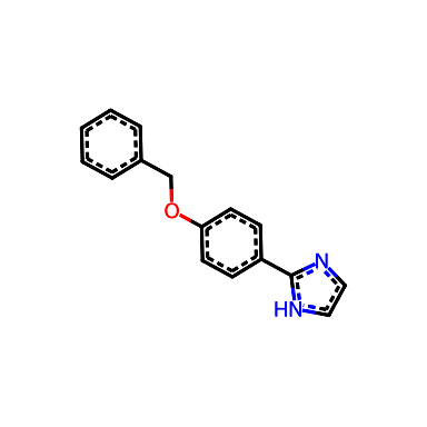 c1ccc(COc2ccc(-c3ncc[nH]3)cc2)cc1